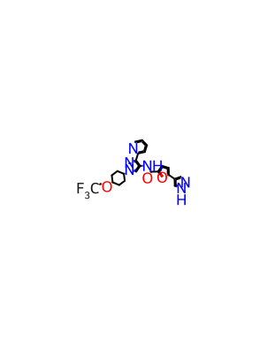 O=C(Nc1cn([C@H]2CC[C@H](OCC(F)(F)F)CC2)nc1-c1ccccn1)c1ccc(-c2cn[nH]c2)o1